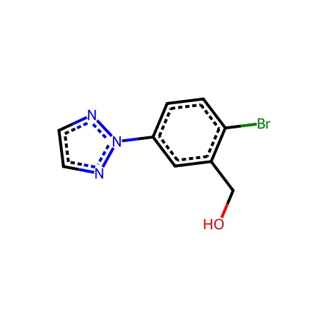 OCc1cc(-n2nccn2)ccc1Br